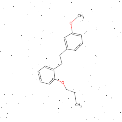 C[CH]COc1ccccc1CCc1cccc(OC)c1